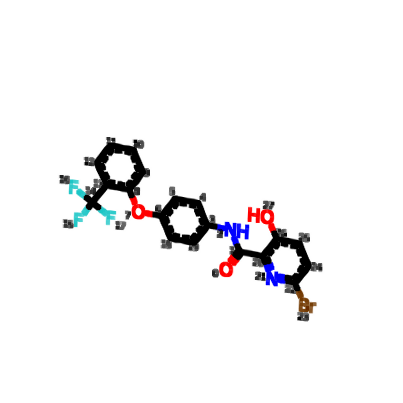 O=C(Nc1ccc(Oc2ccccc2C(F)(F)F)cc1)c1nc(Br)ccc1O